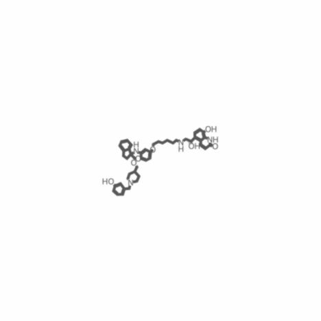 O=C(OCC1CCN(Cc2cccc(O)c2)CC1)C1(Nc2cccc(OCCCCCCNC[C@H](O)c3ccc(O)c4[nH]c(=O)ccc34)c2)CCc2ccccc21